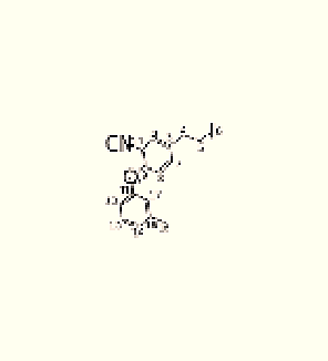 [C-]#[N+]c1cc(CCI)ccc1Oc1cccc(C)c1